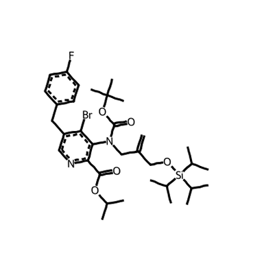 C=C(CO[Si](C(C)C)(C(C)C)C(C)C)CN(C(=O)OC(C)(C)C)c1c(C(=O)OC(C)C)ncc(Cc2ccc(F)cc2)c1Br